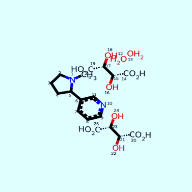 CN1CCCC1c1cccnc1.O.O.O=C(O)[C@H](O)[C@@H](O)C(=O)O.O=C(O)[C@H](O)[C@@H](O)C(=O)O